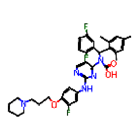 Cc1cc(C)c(C(c2cc(F)ccc2F)N(C(=O)O)c2ccnc(Nc3ccc(OCCCN4CCCCC4)c(F)c3)n2)c(C)c1